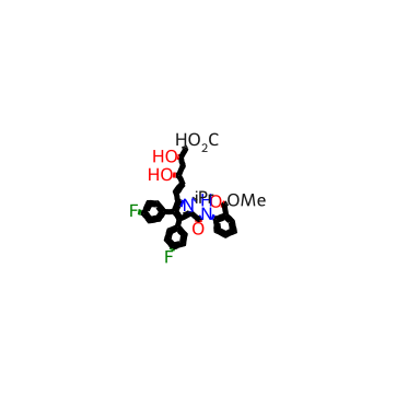 COC(=O)c1ccccc1NC(=O)c1c(-c2ccc(F)cc2)c(-c2ccc(F)cc2)c(/C=C/C(O)CC(O)CC(=O)O)n1C(C)C